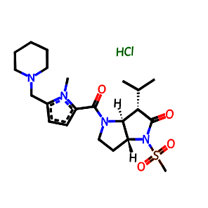 CC(C)[C@@H]1C(=O)N(S(C)(=O)=O)[C@@H]2CCN(C(=O)c3ccc(CN4CCCCC4)n3C)[C@H]21.Cl